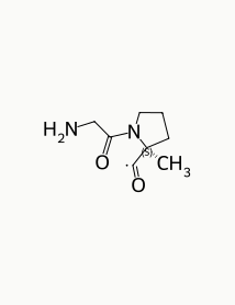 C[C@@]1([C]=O)CCCN1C(=O)CN